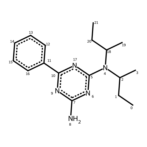 CCC(C)N(c1nc(N)nc(-c2ccccc2)n1)C(C)CC